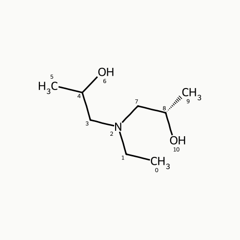 CCN(CC(C)O)C[C@H](C)O